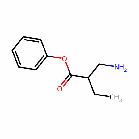 CCC(CN)C(=O)Oc1ccccc1